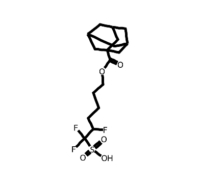 O=C(OCCCCC(F)C(F)(F)S(=O)(=O)O)C12CC3CC(CC(C3)C1)C2